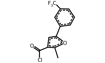 Cc1oc(-c2cccc(C(F)(F)F)c2)cc1C(=O)Cl